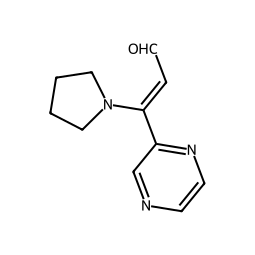 O=CC=C(c1cnccn1)N1CCCC1